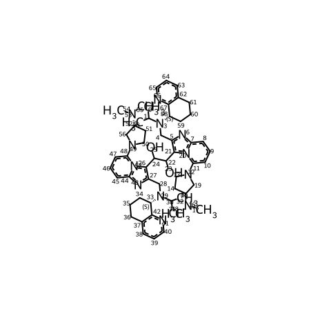 CC(C)N(Cc1nc2cccc(N3CC[C@@H](N(C)C)C3)n2c1C(O)C(O)c1c(CN(C(C)C)[C@H]2CCCc3cccnc32)nc2cccc(N3CC[C@@H](N(C)C)C3)n12)[C@H]1CCCc2cccnc21